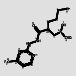 CC(C)CCC[C@@H](CN(O)C=O)C(=O)NNc1nccc(C(F)(F)F)n1